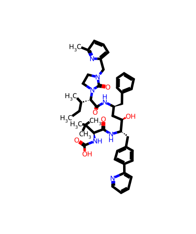 CCC(C)[C@@H](C(=O)N[C@@H](Cc1ccccc1)C[C@@H](O)[C@H](Cc1ccc(-c2ccccn2)cc1)NC(=O)[C@@H](NC(=O)O)C(C)(C)C)N1CCN(Cc2cccc(C)n2)C1=O